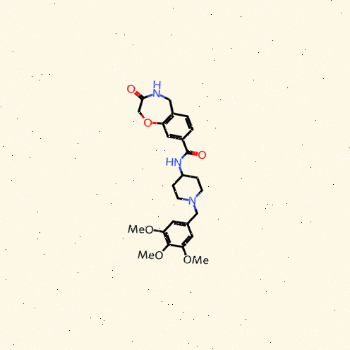 COc1cc(CN2CCC(NC(=O)c3ccc4c(c3)OCC(=O)NC4)CC2)cc(OC)c1OC